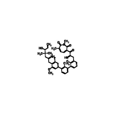 C=CC(O)C(C)(C)CC(=N)Cc1c(F)cc(-c2cccc(-c3cccc(CC(=N)C(=O)c4ccc(C)c(=O)n(C)c4=O)c3C)c2Cl)cc1OC